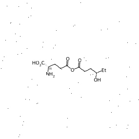 CCC(O)CCC(=O)OC(=O)CC[C@H](N)C(=O)O